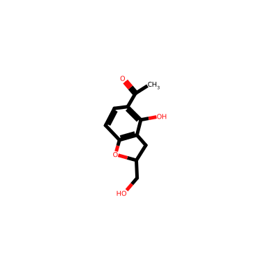 CC(=O)c1ccc2c(c1O)CC(CO)O2